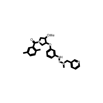 COC1CN(C(=O)c2cc(C)ccc2C)CC1Oc1cccc(NSN(C)Cc2cccnc2)c1